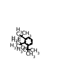 CC(C)(C)c1cccc(C(C)(C)C)c1C(C)(C)C